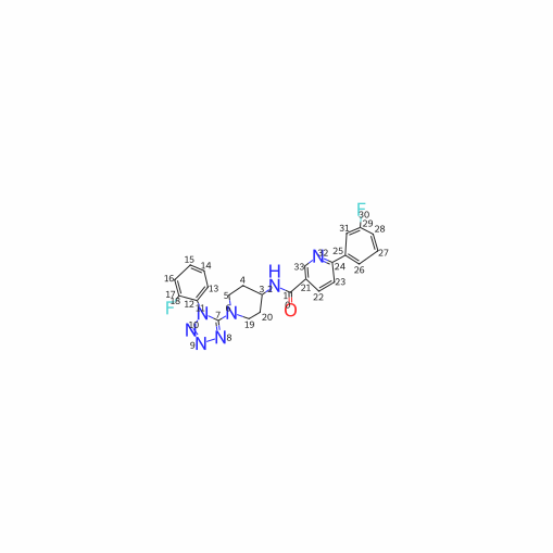 O=C(NC1CCN(c2nnnn2-c2ccccc2F)CC1)c1ccc(-c2cccc(F)c2)nc1